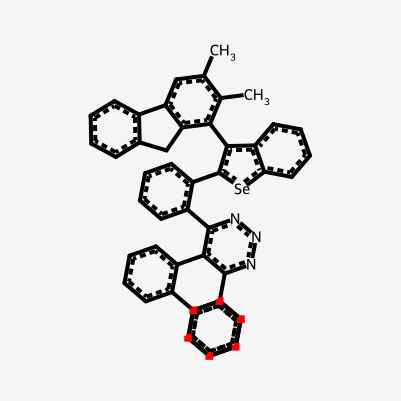 Cc1cc2c(c(-c3c(-c4ccccc4-c4nnnc(-c5ccccc5)c4-c4ccccc4-c4ccccc4)[se]c4ccccc34)c1C)Cc1ccccc1-2